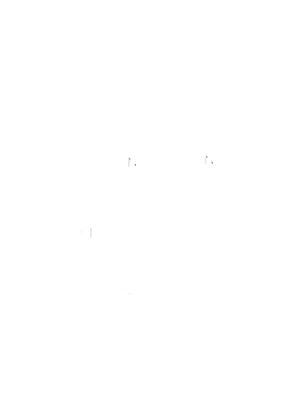 Clc1ccc2nccnc2c1Cl